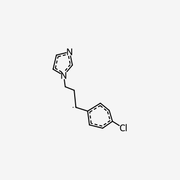 Clc1ccc([CH]CCn2ccnc2)cc1